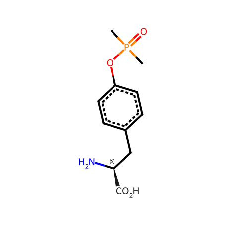 CP(C)(=O)Oc1ccc(C[C@H](N)C(=O)O)cc1